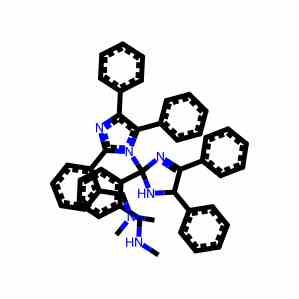 CNCc1ccccc1C1(n2c(-c3ccccc3CN(C)C)nc(-c3ccccc3)c2-c2ccccc2)N=C(c2ccccc2)C(c2ccccc2)N1